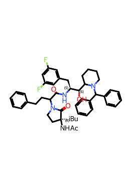 CC[C@@H](C)C1(NC(C)=O)CCN(C(CCc2ccccc2)C(=O)N[C@@H](Cc2cc(F)cc(F)c2)[C@H](O)C2CCCCN2C(c2ccccc2)c2ccccc2)C1=O